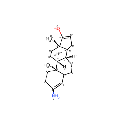 C[C@]12CCC(N)=CC1CC[C@@H]1[C@H]2CC[C@]2(C)C(O)=CC[C@@H]12